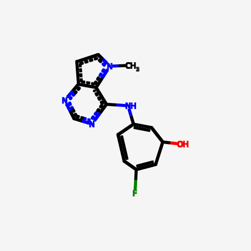 Cn1ccc2ncnc(NC3=CC(O)C=C(F)C=C3)c21